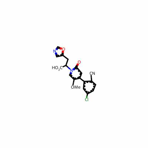 COc1cn(C(Cc2cnco2)C(=O)O)c(=O)cc1-c1cc(Cl)ccc1C#N